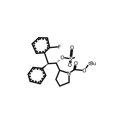 CC(C)(C)OC(=O)N1CCCC1[C@@H](OS(C)(=O)=O)[C@@H](c1ccccc1)c1ccccc1F